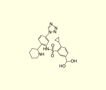 O=S(=O)(Nc1cc(-n2cnnn2)ccc1C1CCCCN1)c1cc(C(O)O)ccc1C1CC1